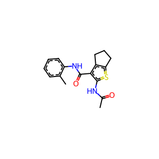 CC(=O)Nc1sc2c(c1C(=O)Nc1ccccc1C)CCC2